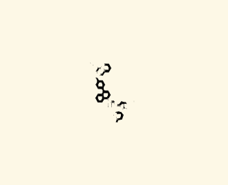 Cc1ccc(-n2nc(C(C)(C)C)cc2NC(=O)Nc2ccc(-c3ccc(CN(CCC#N)Cc4ccccn4)cc3)c3ccccc23)cn1